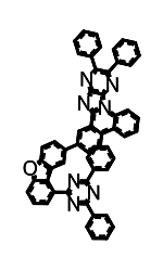 c1ccc(-c2nc(-c3ccccc3)nc(-c3cccc4oc5ccc(-c6ccc7c8ccccc8n8c9nc(-c%10ccccc%10)c(-c%10ccccc%10)nc9nc8c7c6)cc5c34)n2)cc1